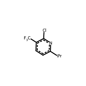 CC(C)c1ccc(C(F)(F)F)c(Cl)n1